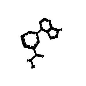 CCNC(=O)c1cccc(-c2ccnc3[nH]ccc23)c1